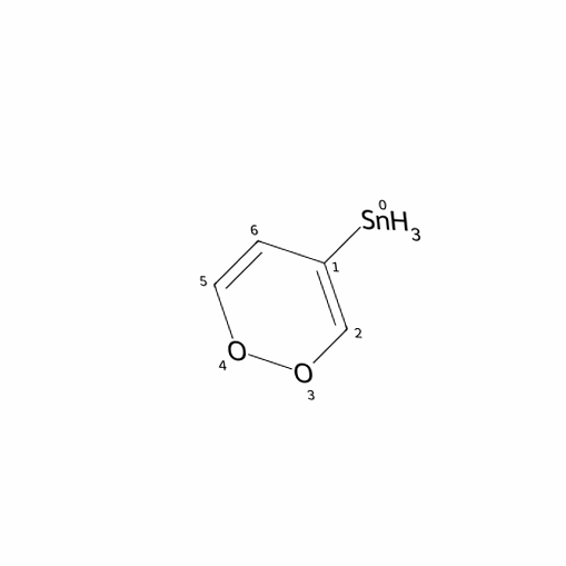 [SnH3][C]1=COOC=C1